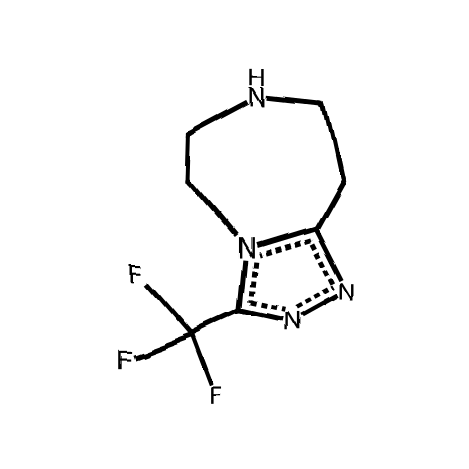 FC(F)(F)c1nnc2n1CCNCC2